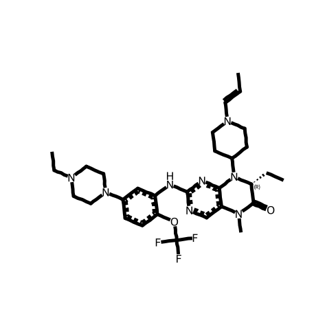 CC=CN1CCC(N2c3nc(Nc4cc(N5CCN(CC)CC5)ccc4OC(F)(F)F)ncc3N(C)C(=O)[C@H]2CC)CC1